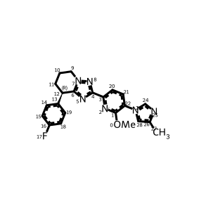 COc1nc(-c2nc3n(n2)CCC[C@@H]3c2ccc(F)cc2)ccc1-n1cnc(C)c1